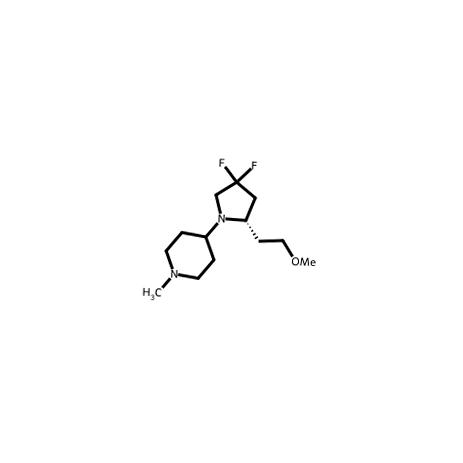 COCC[C@H]1CC(F)(F)CN1C1CCN(C)CC1